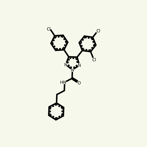 O=C(NCCc1ccccc1)n1nc(-c2ccc(Cl)cc2)c(-c2ccc(Cl)cc2Cl)n1